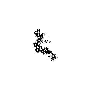 COc1nc(-c2cccc(-c3cccc(-c4ccn5c(=O)c(CNCC6CC(F)(F)C(=O)N6)cnc5c4)c3Cl)c2Cl)ccc1CN(C)[C@H]1CCC(=O)N1